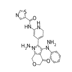 NN(c1ccccc1)c1c2c(n(N)c1C1=CCNC(NC(=O)c3cncs3)=C1)COCC2=O